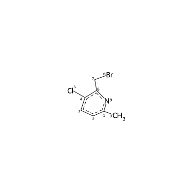 Cc1ccc(Cl)c(CBr)n1